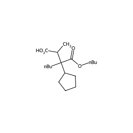 CCCCOC(=O)C(CCCC)(C1CCCC1)C(C)C(=O)O